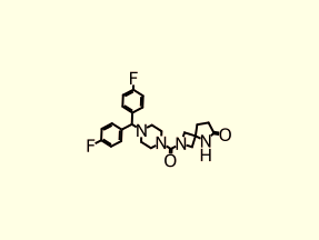 O=C1CCC2(CN(C(=O)N3CCN(C(c4ccc(F)cc4)c4ccc(F)cc4)CC3)C2)N1